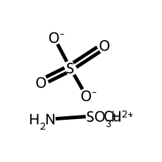 NS(=O)(=O)O.O=S(=O)([O-])[O-].[Cu+2]